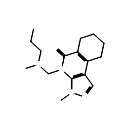 CCCN(C)Cn1c(=O)c2c(c3cnn(C)c31)CCCC2